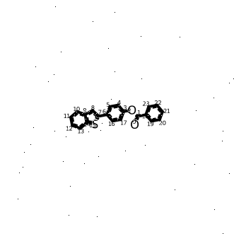 O=C(Oc1ccc(-c2cc3ccccc3s2)cc1)c1ccccc1